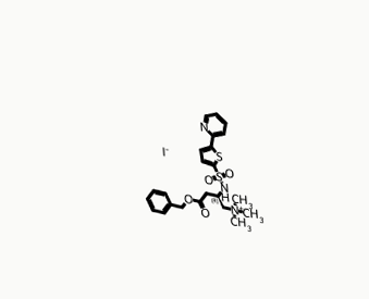 C[N+](C)(C)C[C@@H](CC(=O)OCc1ccccc1)NS(=O)(=O)c1ccc(-c2ccccn2)s1.[I-]